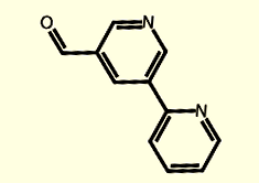 O=Cc1cncc(-c2ccccn2)c1